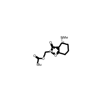 CN[C@@H]1CCCc2on(COC(=O)C(C)(C)C)c(=O)c21